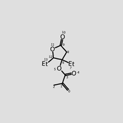 C=C(C)C(=O)OC1(CC)CC(=O)OC1CC